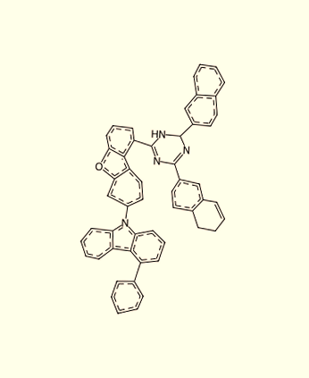 C1=Cc2cc(C3=NC(c4ccc5ccccc5c4)NC(c4cccc5oc6cc(-n7c8ccccc8c8c(-c9ccccc9)cccc87)ccc6c45)=N3)ccc2CC1